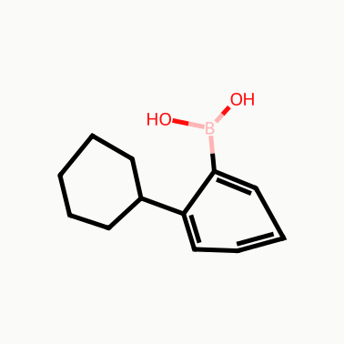 OB(O)c1ccccc1C1CCCCC1